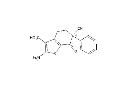 N#C[C@@]1(c2ccccc2)CCc2c(sc(N)c2C(=O)O)C1=O